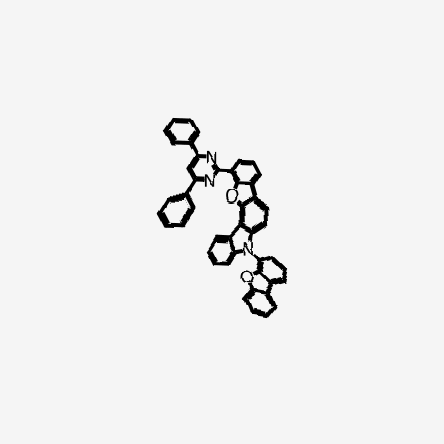 c1ccc(-c2cc(-c3ccccc3)nc(-c3cccc4c3oc3c4ccc4c3c3ccccc3n4-c3cccc4c3oc3ccccc34)n2)cc1